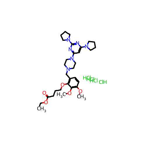 CCOC(=O)CCCOc1c(CN2CCN(c3cc(N4CCCC4)nc(N4CCCC4)n3)CC2)ccc(OC)c1OC.Cl.Cl.Cl.Cl